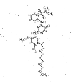 COCOCCCN1CCc2cc(Nc3ncc(Cl)c(Nc4ccccc4S(=O)(=O)N(C)C)n3)c(OC)cc2CC1